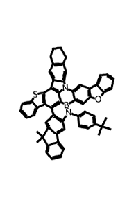 CC(C)(C)c1ccc(N2B3c4cc5oc6ccccc6c5cc4-n4c5cc6c(cc5c5c7sc8ccccc8c7c(c3c54)-c3cc4c(cc32)-c2ccccc2C4(C)C)CCCC6)cc1